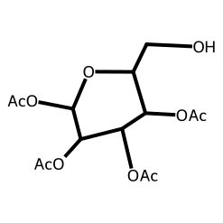 CC(=O)OC1OC(CO)C(OC(C)=O)C(OC(C)=O)C1OC(C)=O